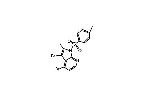 Cc1ccc(S(=O)(=O)n2c(C)c(Br)c3c(Br)ccnc32)cc1